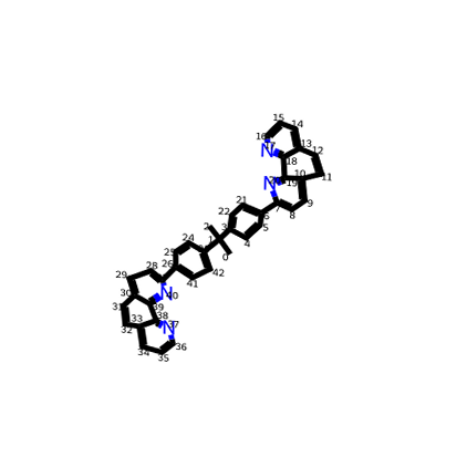 CC(C)(c1ccc(-c2ccc3ccc4cccnc4c3n2)cc1)c1ccc(-c2ccc3ccc4cccnc4c3n2)cc1